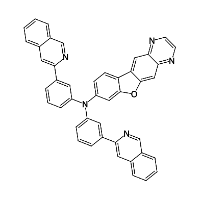 c1cc(-c2cc3ccccc3cn2)cc(N(c2cccc(-c3cc4ccccc4cn3)c2)c2ccc3c(c2)oc2cc4nccnc4cc23)c1